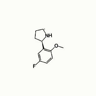 COc1ccc(F)cc1[C@H]1CC[CH]N1